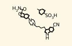 Cc1ccc(S(=O)(=O)O)cc1.N#Cc1ccc2[nH]cc(CCCCN3CCN(c4ccc5c(C(N)=O)occ5c4)CC3)c2c1